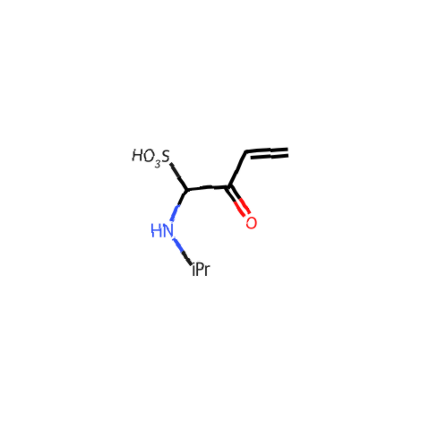 C=CC(=O)C(NC(C)C)S(=O)(=O)O